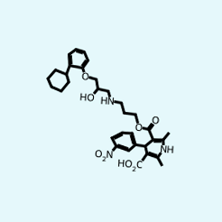 CC1=C(C(=O)O)C(c2cccc([N+](=O)[O-])c2)C(C(=O)OCCCNCC(O)COc2ccccc2C2CCCCC2)=C(C)N1